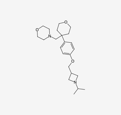 CC(C)N1CC(COc2ccc(C3(CN4CCOCC4)CCOCC3)cc2)C1